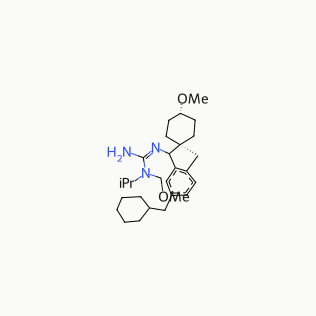 COCN(/C(N)=N\C1c2cc(CC3CCCCC3)ccc2C[C@]12CC[C@@H](OC)CC2)C(C)C